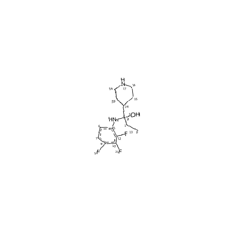 CCC(O)(Nc1ccc(F)c(F)c1F)C1CCNCC1